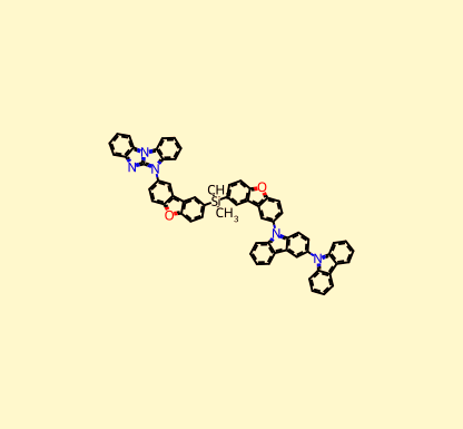 C[Si](C)(c1ccc2oc3ccc(-n4c5ccccc5c5cc(-n6c7ccccc7c7ccccc76)ccc54)cc3c2c1)c1ccc2oc3ccc(-n4c5ccccc5n5c6ccccc6nc45)cc3c2c1